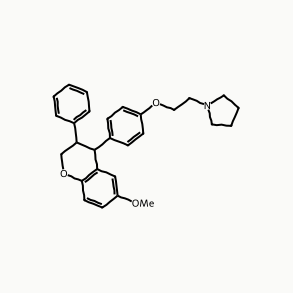 COc1ccc2c(c1)C(c1ccc(OCCN3CCCC3)cc1)C(c1ccccc1)CO2